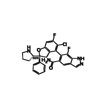 NC(=O)c1cc2cn[nH]c2c(F)c1-c1c(Cl)c(F)cc2c1C[C@](c1ccccc1)([C@@H]1CCCN1)O2